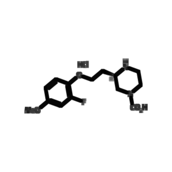 COc1ccc(OCC[C@@H]2CN(C(=O)O)CCN2)c(F)c1.Cl